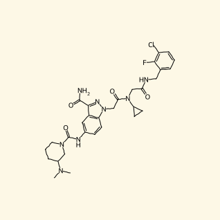 CN(C)C1CCCN(C(=O)Nc2ccc3c(c2)c(C(N)=O)nn3CC(=O)N(CC(=O)NCc2cccc(Cl)c2F)C2CC2)C1